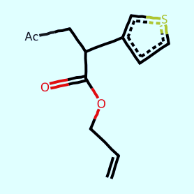 C=CCOC(=O)C(CC(C)=O)c1ccsc1